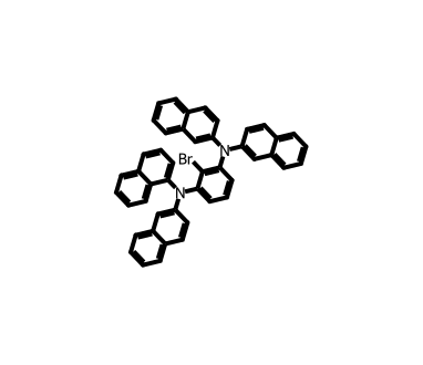 Brc1c(N(c2ccc3ccccc3c2)c2ccc3ccccc3c2)cccc1N(c1ccc2ccccc2c1)c1cccc2ccccc12